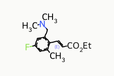 CCOC(=O)/C=C/c1c(C)cc(F)cc1CN(C)C